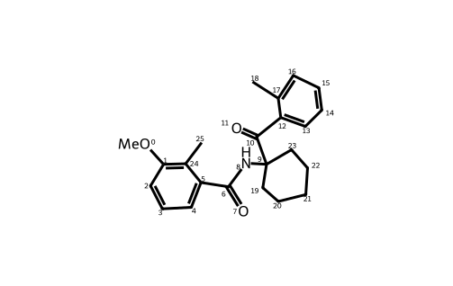 COc1cccc(C(=O)NC2(C(=O)c3ccccc3C)CCCCC2)c1C